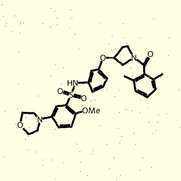 COc1ccc(N2CCOCC2)cc1S(=O)(=O)Nc1cccc(O[C@H]2CCN(C(=O)c3c(C)cccc3C)C2)c1